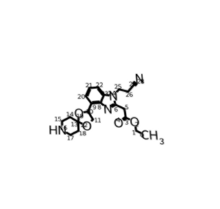 CCOC(=O)Cc1nc2c(C3COC4(CCNCC4)O3)cccc2n1CCC#N